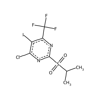 CC(C)S(=O)(=O)c1nc(Cl)c(I)c(C(F)(F)F)n1